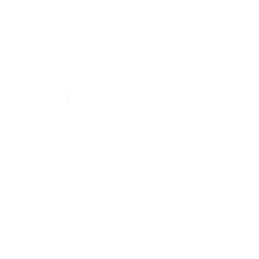 Cc1cc(C2C=CCC2)c(C(F)(F)F)cc1C(=O)Cl